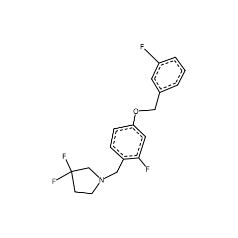 Fc1cccc(COc2ccc(CN3CCC(F)(F)C3)c(F)c2)c1